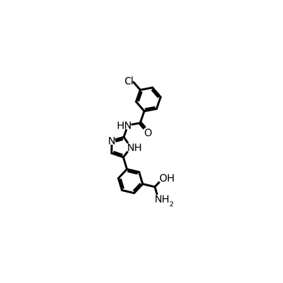 NC(O)c1cccc(-c2cnc(NC(=O)c3cccc(Cl)c3)[nH]2)c1